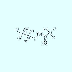 CC(C)(C)C(=O)OCC(C)(C)C(C)(C)C